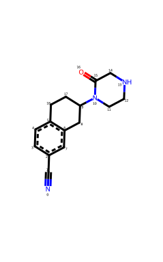 N#Cc1ccc2c(c1)CC(N1CCNCC1=O)CC2